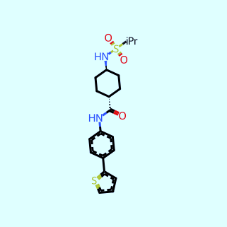 CC(C)S(=O)(=O)N[C@H]1CC[C@H](C(=O)Nc2ccc(-c3cccs3)cc2)CC1